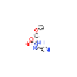 O=C(O)c1c(-c2ccc(Oc3ccccc3)cc2)[nH]c2c(C3CCNCC3)cnn12